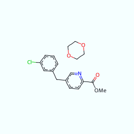 C1COCCO1.COC(=O)c1ccc(Cc2cccc(Cl)c2)cn1